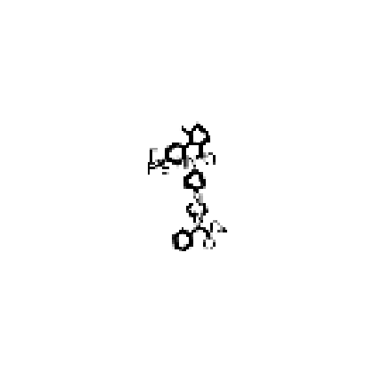 COC(=O)C(c1ccccc1)N1CCN(c2ccc(NC(=O)c3cccc(C)c3-c3ccc(C(F)(F)F)cc3)cc2)CC1